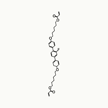 C=CC(=O)OCCCCCCOc1ccc(-c2ccc(C3=CCC(OCCCCCCOC(=O)C=C)C=C3)cc2F)cc1